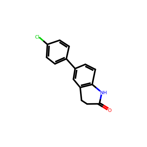 O=C1CCc2cc(-c3ccc(Cl)cc3)ccc2N1